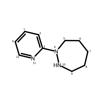 c1ccc(N2CCCCCN2)nc1